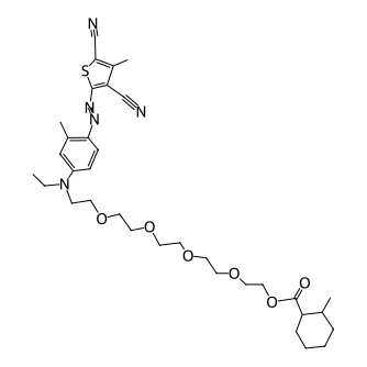 CCN(CCOCCOCCOCCOCCOC(=O)C1CCCCC1C)c1ccc(/N=N/c2sc(C#N)c(C)c2C#N)c(C)c1